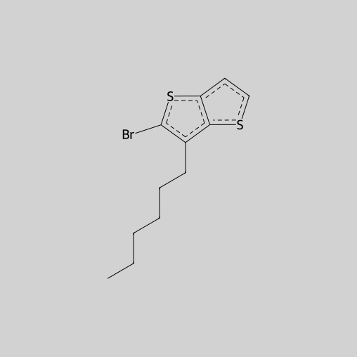 CCCCCCc1c(Br)sc2ccsc12